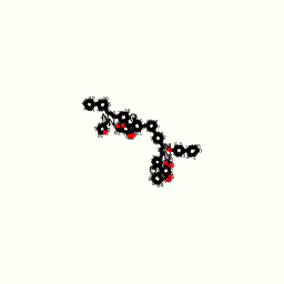 c1ccc(-c2ccc(-c3nc(-c4ccc(-c5cccc(-c6ccc7c(c6)Oc6ccc(-c8cc(-c9cccc(-c%10ccccc%10)c9)nc(-c9ccccc9)n8)cc6C76c7ccccc7-c7ccccc76)c5)cc4)cc(-c4ccc5c(c4)C4(c6ccccc6O5)c5ccccc5-c5ccccc54)n3)cc2)cc1